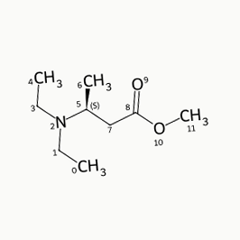 CCN(CC)[C@@H](C)CC(=O)OC